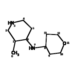 CC1CNCCC1NC1CCOCC1